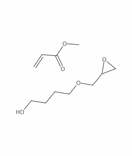 C=CC(=O)OC.OCCCCOCC1CO1